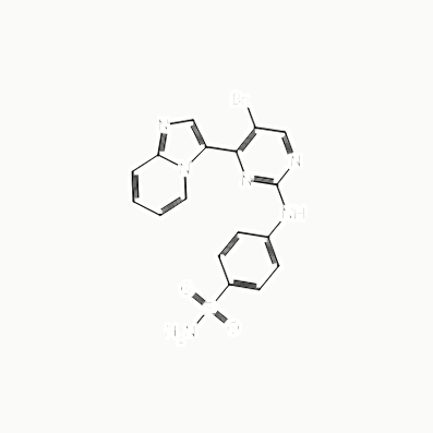 NS(=O)(=O)c1ccc(Nc2ncc(Br)c(-c3cnc4ccccn34)n2)cc1